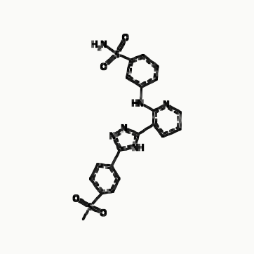 CS(=O)(=O)c1ccc(-c2nnc(-c3cccnc3Nc3cccc(S(N)(=O)=O)c3)[nH]2)cc1